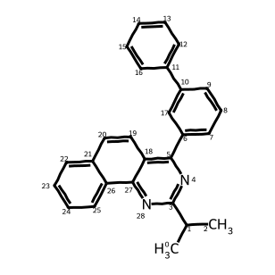 CC(C)c1nc(-c2cccc(-c3ccccc3)c2)c2ccc3ccccc3c2n1